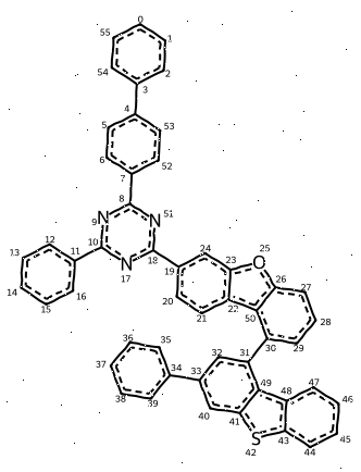 c1ccc(-c2ccc(-c3nc(-c4ccccc4)nc(-c4ccc5c(c4)oc4cccc(-c6cc(-c7ccccc7)cc7sc8ccccc8c67)c45)n3)cc2)cc1